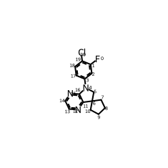 Fc1cc(N2CC3(CCCC3)c3nccnc32)ccc1Cl